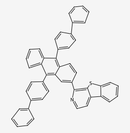 c1ccc(-c2ccc(-c3c4ccccc4c(-c4ccc(-c5ccccc5)cc4)c4cc(-c5nccc6c5sc5ccccc56)ccc34)cc2)cc1